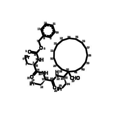 CC(C)C[C@H](NC(=O)OCc1ccccc1)C(=O)N[C@@H](CC(C)C)C(=O)N[C@@H](CC(C)C)C1(C=O)CCCCCCCCCCCCCC1